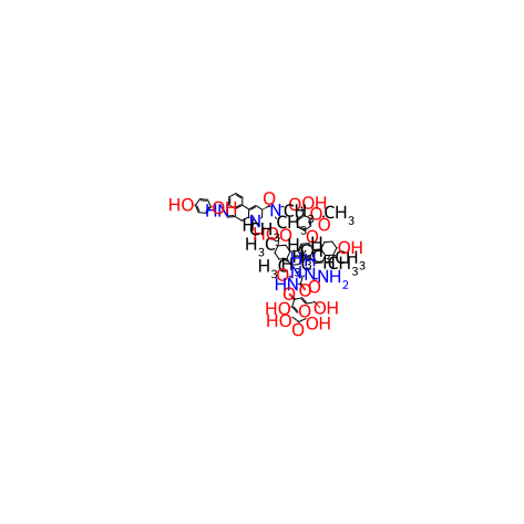 CC(=O)Oc1ccccc1C(=O)O.CC1(C)[C@@H](O)CC[C@]2(C)[C@H]3C(=O)C=C4[C@@H]5C[C@@](C)(C(=O)O)CC[C@]5(C)CC[C@@]4(C)[C@]3(C)CC[C@@H]12.CCN(CC)C(=O)[C@@H]1C=C2c3cccc4[nH]cc(c34)C[C@H]2N(C)C1.NC(=O)NC1NC(=O)NC1=O.O=C(CO)CO.O=c1cc(CO)occ1O.Oc1ccc(O)cc1